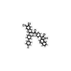 CCc1ccc(C[C@@H](NC(=O)N2CCC(n3c(=O)[nH]c4c5ccccc5ncc43)CC2)C(=O)N2CCC(N3CCN(C)CC3)CC2)cc1CC